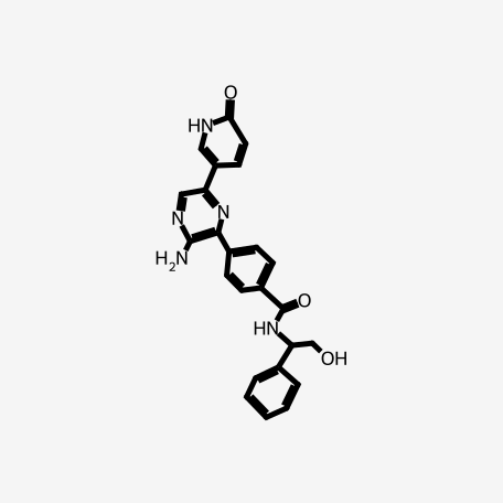 Nc1ncc(-c2ccc(=O)[nH]c2)nc1-c1ccc(C(=O)NC(CO)c2ccccc2)cc1